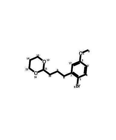 COc1ccc(Br)c(CCCC2OCCCO2)c1